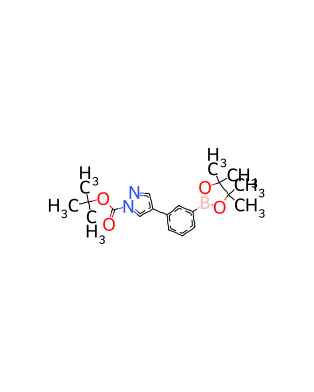 CC(C)(C)OC(=O)n1cc(-c2cccc(B3OC(C)(C)C(C)(C)O3)c2)cn1